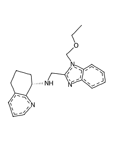 CCOCn1c(CN[C@H]2CCCc3cccnc32)nc2ccccc21